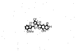 COc1cccc2[nH]c(C(=O)N3CC(C(F)(F)F)CC3C(=O)NC(CC3CCCNC3=O)C(=O)CO)cc12